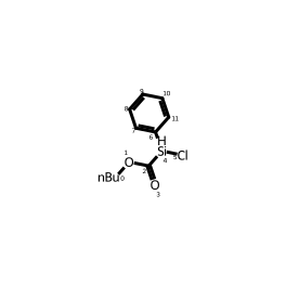 CCCCOC(=O)[SiH](Cl)c1ccccc1